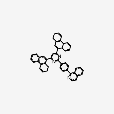 C1=CC2C(c3cc(-c4cc5ccccc5c5c4CCC=C5)nc(-c4ccc(-c5nccc6ccccc56)cc4)n3)=CC3=C(C=CCC3)C2C=C1